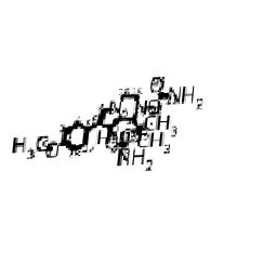 COc1ccc(-c2cn3c(c2OC(N)=O)C(C(C)(C)C)N(OC(N)=O)CC3)cc1